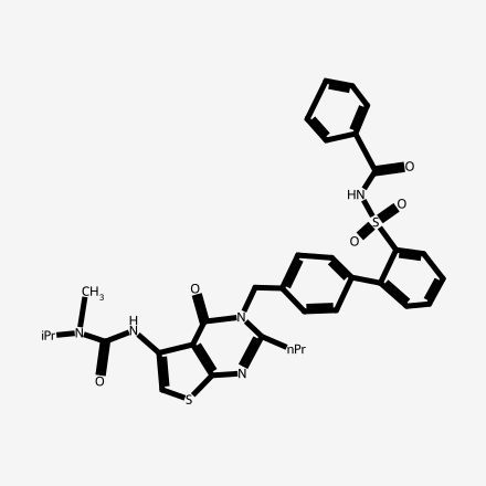 CCCc1nc2scc(NC(=O)N(C)C(C)C)c2c(=O)n1Cc1ccc(-c2ccccc2S(=O)(=O)NC(=O)c2ccccc2)cc1